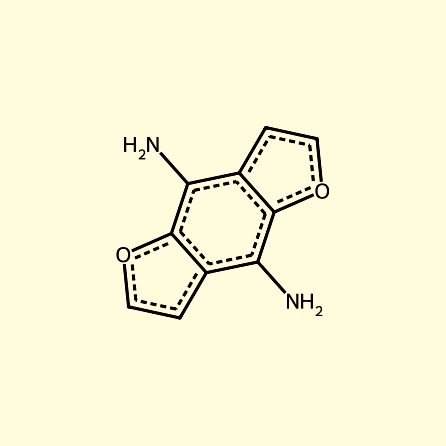 Nc1c2ccoc2c(N)c2ccoc12